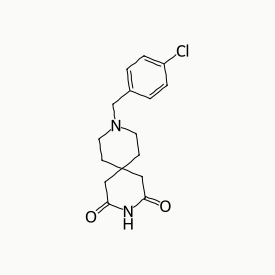 O=C1CC2(CCN(Cc3ccc(Cl)cc3)CC2)CC(=O)N1